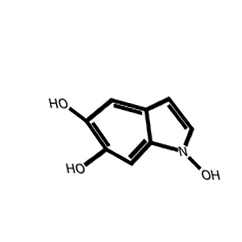 Oc1cc2ccn(O)c2cc1O